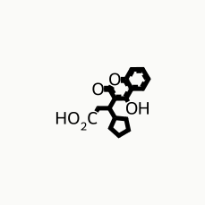 O=C(O)CC(c1c(O)c2ccccc2oc1=O)C1CCCC1